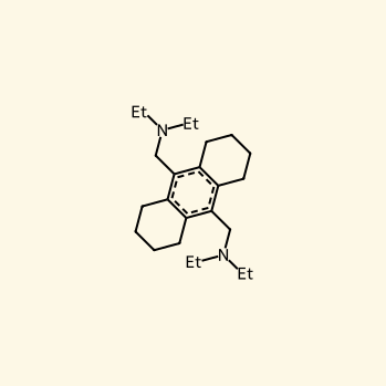 CCN(CC)Cc1c2c(c(CN(CC)CC)c3c1CCCC3)CCCC2